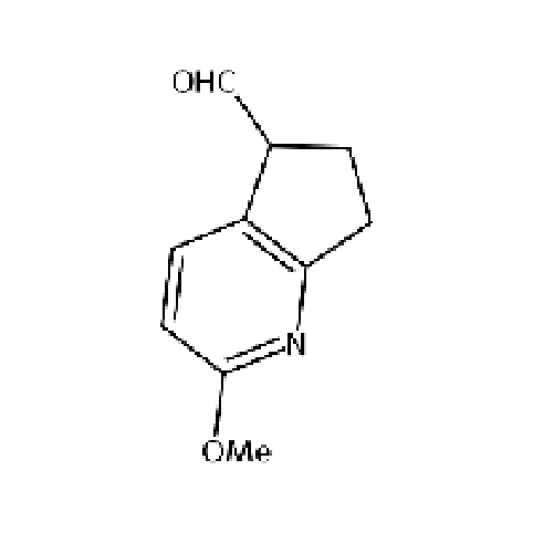 COc1ccc2c(n1)CCC2C=O